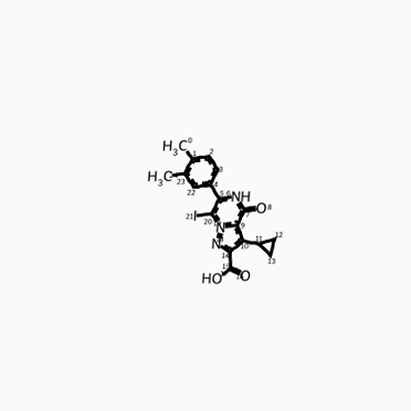 Cc1ccc(-c2[nH]c(=O)c3c(C4CC4)c(C(=O)O)nn3c2I)cc1C